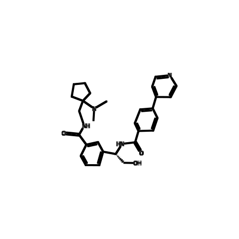 CN(C)C1(CNC(=O)c2cccc([C@@H](CO)NC(=O)c3ccc(-c4ccncc4)cc3)c2)CCCC1